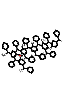 CC(c1ccccc1)c1ccc(O)c(C(c2ccccc2)c2cc(C(C)c3ccccc3)cc(C(c3ccccc3)c3cc(C(C)c4ccccc4)cc(C(c4ccccc4)c4cc(C(C)c5ccccc5)cc(C(c5ccccc5)c5cc(C(C)c6ccccc6)cc(C(c6ccccc6)c6cc(C(C)c7ccccc7)ccc6O)c5O)c4O)c3O)c2O)c1